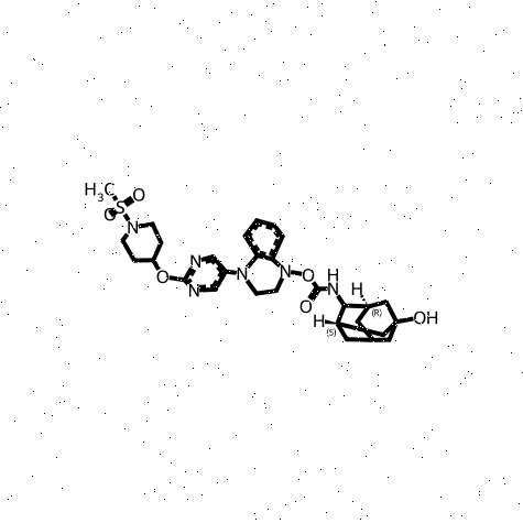 CS(=O)(=O)N1CCC(Oc2ncc(N3CCN(OC(=O)NC4[C@@H]5CC6C[C@H]4CC(O)(C6)C5)c4ccccc43)cn2)CC1